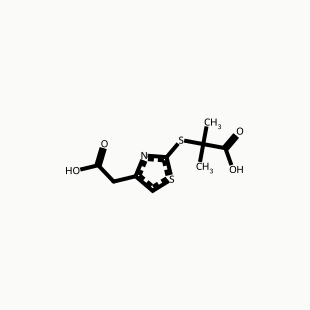 CC(C)(Sc1nc(CC(=O)O)cs1)C(=O)O